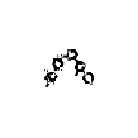 Cc1cc(-c2ccnc(Nc3ccc(N4C[C@@H]5C[C@H]4CN5C)nc3)n2)cnc1N1CCOCC1